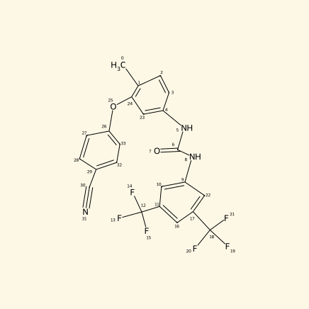 Cc1ccc(NC(=O)Nc2cc(C(F)(F)F)cc(C(F)(F)F)c2)cc1Oc1ccc(C#N)cc1